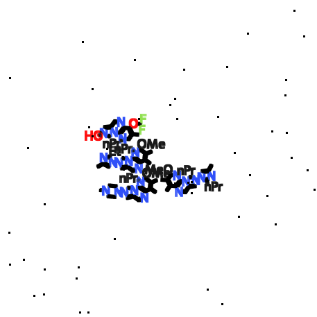 CCCN1C2=C(N=CC3=CN(N4CCN(C)CC4)CN32)C(C)=C(C)C1OC.CCCN1C2=C(N=CC3=CN(n4cc(C)nc4CC)CN32)C(C)=C(C)C1OC.CCCN1CC(C)=C(OC(F)F)C2=C1N1CN(O)C=C1C=N2.CCCc1nc(C)cn1N1C=C2C=NC3=C(N2C1)N(CCC)C(OC)C(C)=C3C